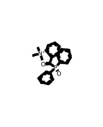 C[N+](C)(C)c1ccccc1C(=O)P(=O)(c1ccccc1)c1ccccc1